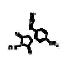 O=CN1C(=O)CCC1=O.[N-]=[N+]=Nc1ccc([N+](=O)[O-])cc1